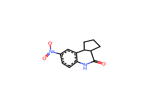 O=C1Nc2ccc([N+](=O)[O-])cc2C2CCCC12